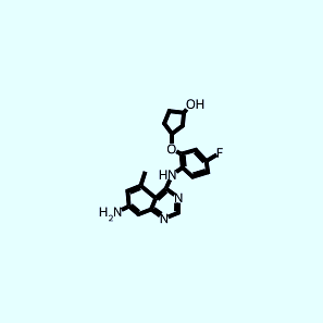 Cc1cc(N)cc2ncnc(Nc3ccc(F)cc3OC3CCC(O)C3)c12